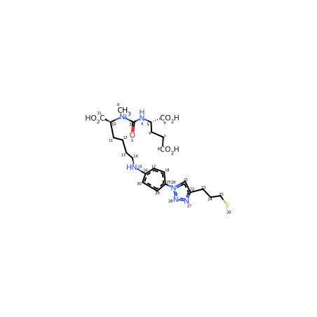 CN(C(=O)N[C@@H](CCC(=O)O)C(=O)O)[C@@H](CCCCNc1ccc(-n2cc(CCCF)nn2)cc1)C(=O)O